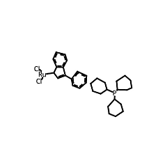 C1CCC(P(C2CCCCC2)C2CCCCC2)CC1.[Cl][Ru]([Cl])[CH]1C=C(c2ccccc2)c2ccccc21